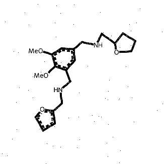 COc1cc(CNCC2CCCO2)cc(CNCc2ccco2)c1OC